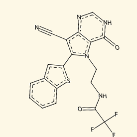 N#Cc1c(-c2cc3ccccc3s2)n(CCNC(=O)C(F)(F)F)c2c(=O)[nH]cnc12